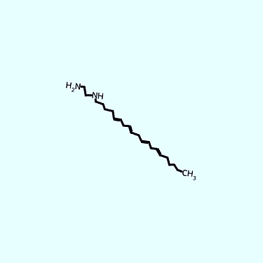 CCCCCC=CCC=CCC=CCC=CCCCCNCCN